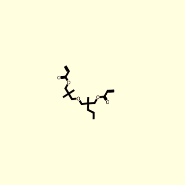 C=CC(=O)OCC(C)(C)COCC(C)(CCC)COC(=O)C=C